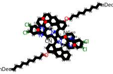 [C-]#[N+]/C(c1cnc2cc(Cl)c(Cl)cc2n1)=c1\c2c(-c3ccc(OCCCCCCCCCCCCCCCCCCCC)cc3)n(B(c3cccc4ccccc34)c3cccc4ccccc34)/c(=C(/C#N)c3cnc4cc(Cl)c(Cl)cc4n3)c2c(-c2ccc(OCCCCCCCCCCCCCCCCCCCC)cc2)n1B(c1cccc2ccccc12)c1cccc2ccccc12